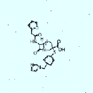 O=C(Cc1ccco1)NC1C(=O)N2CC(Sc3ccc(Cn4ccnc4)cc3)(C(=O)O)CS[C@H]12